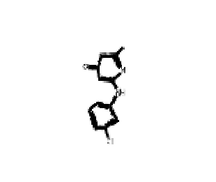 CC1=NC(Nc2cccc(Cl)c2)=CC(=O)C1